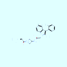 C=CC(=O)N1CC(NC(=O)Cn2c(C)c(-c3ccccc3CCC)c3cc(Cl)ccc32)C1